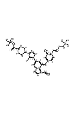 Cc1c(-c2cc(Sc3ccn(COCC[Si](C)(C)C)c(=O)c3)c3c(C#N)cnn3c2)cnn1C1CCN(C(=O)OC(C)(C)C)CC1